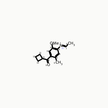 C/C=N/c1cc(C)c(C(=O)C2CCC2)cc1OC